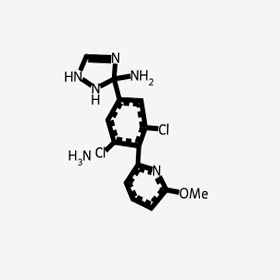 COc1cccc(-c2c(Cl)cc(C3(N)N=CNN3)cc2Cl)n1.N